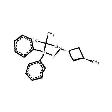 CC(C)(C)[Si](OC[C@H]1C[C@H](C)C1)(c1ccccc1)c1ccccc1